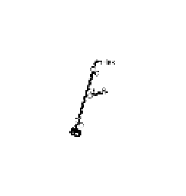 CCCCCC/C=C\COC(=O)CCCCCCCC(CCCCCCCCOC(=O)CC12CC3CC(CC(C3)C1)C2)OC(=O)CCCN(C)C